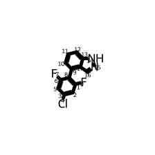 Fc1cc(Cl)cc(F)c1-c1cccc2[nH]ncc12